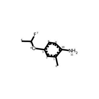 Cc1cc(OC(C)F)ccc1N